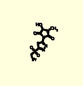 CC(C)CS(=O)(=O)c1nnc(N2C(=O)C(O)N(C)C2=O)s1